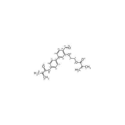 C=C(C)C(=O)OCCOc1cc(-c2ccc(OC(=O)C(=C)C)cc2)ccc1C=O